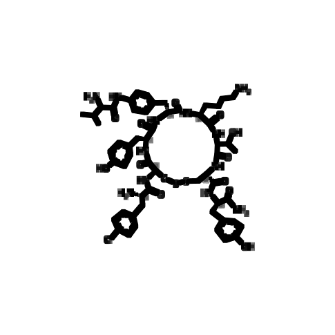 CC(C)C(N)C(=O)Nc1ccc(C[C@H]2NC(=O)[C@H](Cc3ccc(O)cc3)NC(=O)[C@H](NC(=O)[C@@H](N)Cc3ccc(Cl)cc3)CSSC[C@@H](C(=O)N[C@H](Cc3ccc(O)cc3)C(N)=O)NC(=O)C(C(C)O)NC(=O)[C@H](CCCCN)NC2=O)cc1